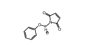 O=C1C=CC(=O)N1[PH](=O)Oc1ccccc1